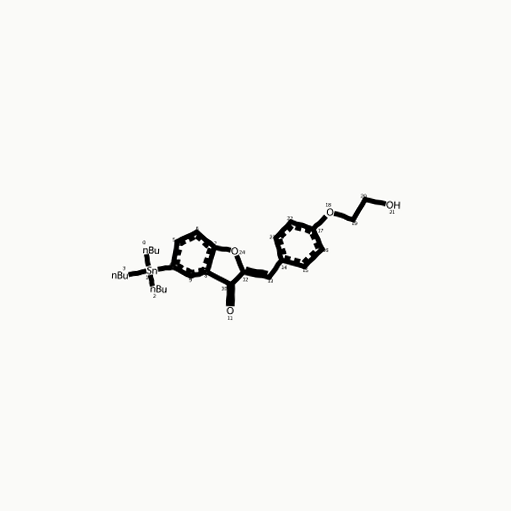 CCC[CH2][Sn]([CH2]CCC)([CH2]CCC)[c]1ccc2c(c1)C(=O)/C(=C/c1ccc(OCCO)cc1)O2